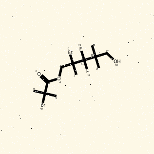 CCC(C)(COC(=O)C(C)(C)Br)C(F)(F)C(C)(C)CO